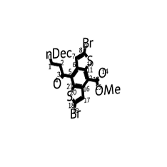 CCCCCCCCCCCCC(=O)c1c2cc(Br)sc2c(C(=O)OC)c2cc(Br)sc12